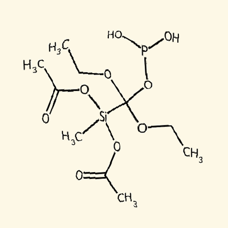 CCOC(OCC)(OP(O)O)[Si](C)(OC(C)=O)OC(C)=O